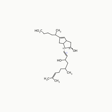 CC(C)=CCCC(C)CC(O)/C=C/[C@@H]1C2CC(C(C)CCCC(=O)O)=CC2C[C@H]1O